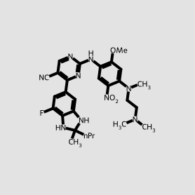 CCCC1(C)Nc2cc(-c3nc(Nc4cc([N+](=O)[O-])c(N(C)CCN(C)C)cc4OC)ncc3C#N)cc(F)c2N1